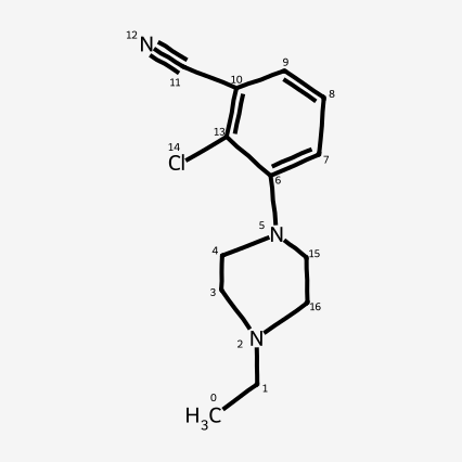 CCN1CCN(c2cccc(C#N)c2Cl)CC1